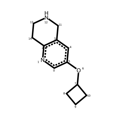 c1nc2c(cc1OC1CCC1)CNCC2